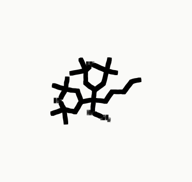 CCCCCC(NN)(C1CC(C)(C)NC(C)(C)C1)C1CC(C)(C)NC(C)(C)C1